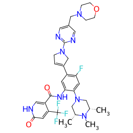 C[C@@H]1CN(c2cc(F)c(C3=CCN(c4ncc(CN5CCOCC5)cn4)C3)cc2NC(=O)c2c[nH]c(=O)cc2C(F)(F)F)C[C@H](C)N1C